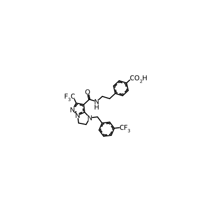 O=C(O)c1ccc(CCNC(=O)c2c(C(F)(F)F)nn3c2N(Cc2cccc(C(F)(F)F)c2)CC3)cc1